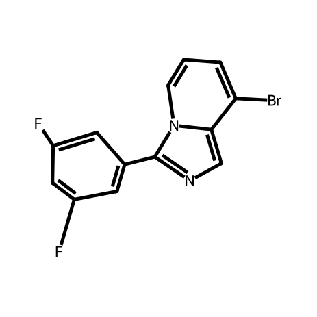 Fc1cc(F)cc(-c2ncc3c(Br)cccn23)c1